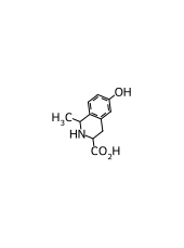 CC1NC(C(=O)O)Cc2cc(O)ccc21